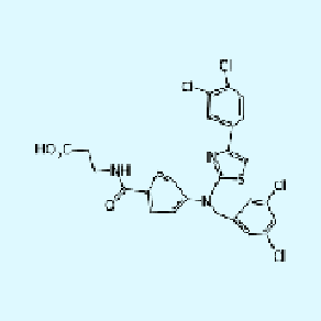 O=C(O)CCNC(=O)c1ccc(N(Cc2cc(Cl)cc(Cl)c2)c2nc(-c3ccc(Cl)c(Cl)c3)cs2)cc1